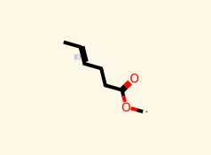 [CH2]OC(=O)CC/C=C/C